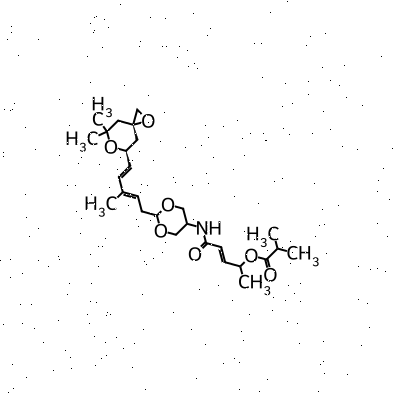 CC(C=C[C@@H]1C[C@]2(CO2)CC(C)(C)O1)=CCC1OCC(NC(=O)C=CC(C)OC(=O)C(C)C)CO1